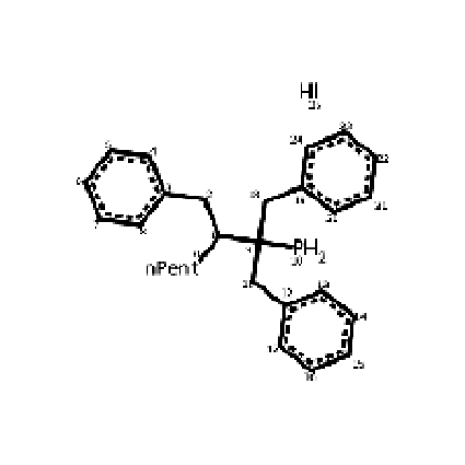 CCCCCC(Cc1ccccc1)C(P)(Cc1ccccc1)Cc1ccccc1.I